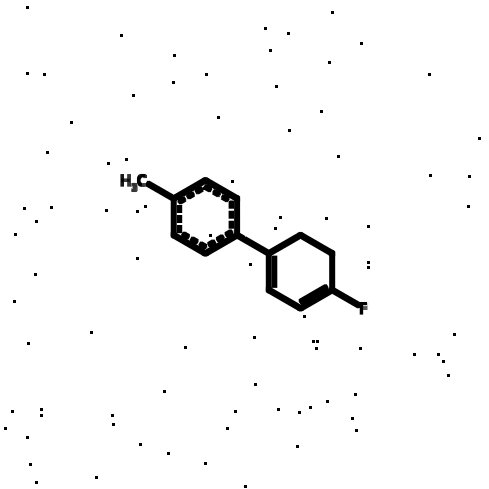 Cc1ccc(C2=CC=C(F)CC2)cc1